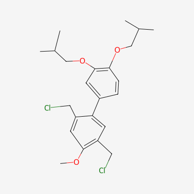 COc1cc(CCl)c(-c2ccc(OCC(C)C)c(OCC(C)C)c2)cc1CCl